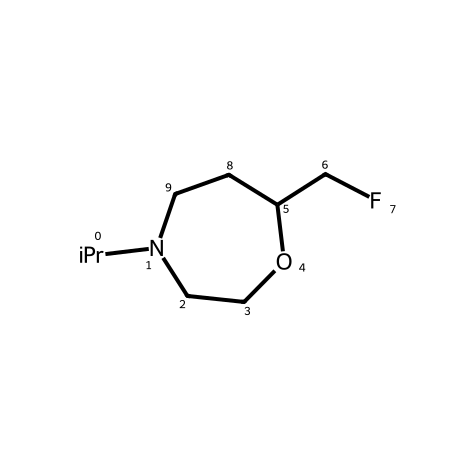 CC(C)N1CCOC(CF)CC1